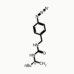 [CH2][C@@H](CCCC)NC(=O)NCc1ccc(N=[N+]=[N-])cc1